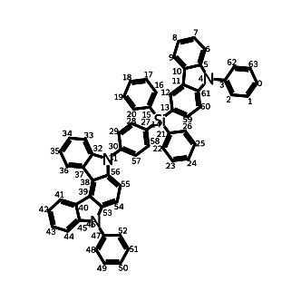 c1ccc(-n2c3ccccc3c3cc([Si](c4ccccc4)(c4ccccc4)c4ccc(-n5c6ccccc6c6c7c8ccccc8n(-c8ccccc8)c7ccc65)cc4)ccc32)cc1